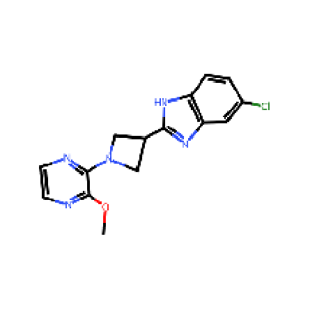 COc1nccnc1N1CC(c2nc3cc(Cl)ccc3[nH]2)C1